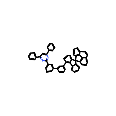 c1ccc(-c2cc(-c3ccccc3)nc(-c3cccc(-c4cccc(-c5cccc6c5-c5ccccc5C65c6cccc7ccc8cccc5c8c67)c4)c3)n2)cc1